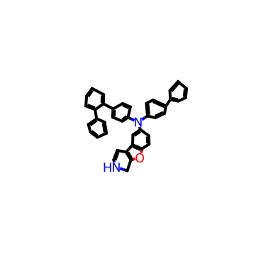 C1=Cc2c(oc3ccc(N(c4ccc(-c5ccccc5)cc4)c4ccc(-c5ccccc5-c5ccccc5)cc4)cc23)CN1